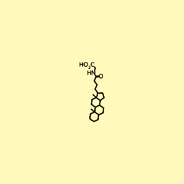 CC12CCCCC1CCC1C2CCC2(C)C(CCCC(=O)NCC(=O)O)CCC12